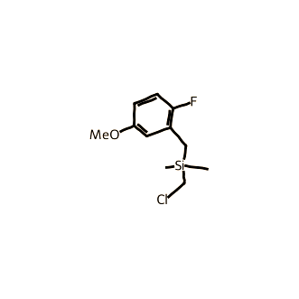 COc1ccc(F)c(C[Si](C)(C)CCl)c1